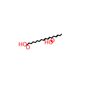 CCC=CCC(C=CC=CCCCCCCCC(=O)O)OO